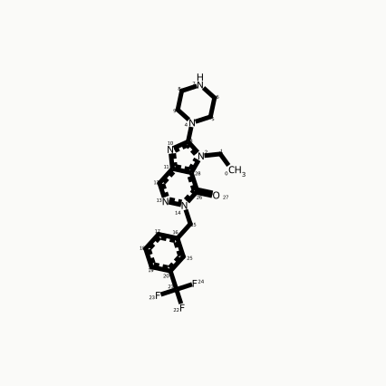 CCn1c(N2CCNCC2)nc2cnn(Cc3cccc(C(F)(F)F)c3)c(=O)c21